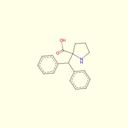 O=C(O)C1(C(c2ccccc2)c2ccccc2)CCCN1